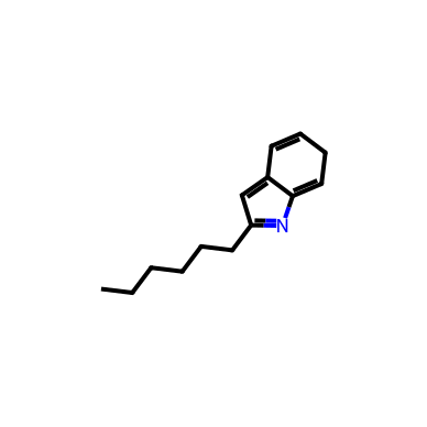 CCCCCCC1=NC2=CCC=CC2=C1